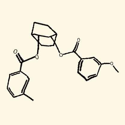 COc1cccc(C(=O)OC2C3CCC(CC3)C2OC(=O)c2cccc(C)c2)c1